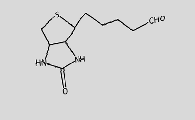 O=CCCCCC1SCC2NC(=O)NC21